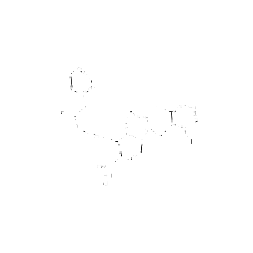 COc1ccc2c(Cc3c(Cl)cncc3Cl)nncc2c1C#CCN(C)Cc1ccccc1.Cl.Cl